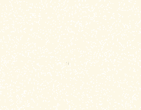 c1ccc(-c2ccc(-c3ccc(N(c4ccc(-c5ccc(-c6ccccc6)cc5)cc4)c4cccc(-c5cccc6oc7c8ccccc8ccc7c56)c4)cc3)cc2)cc1